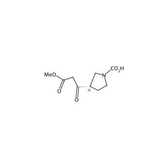 COC(=O)CC(=O)[C@H]1CCN(C(=O)O)C1